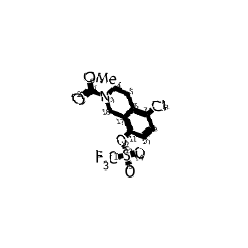 COC(=O)N1CCc2c(Cl)ccc(OS(=O)(=O)C(F)(F)F)c2C1